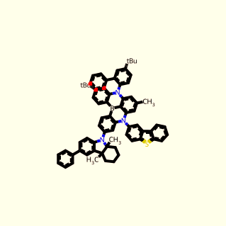 Cc1cc2c3c(c1)N(c1ccc(C(C)(C)C)cc1-c1ccccc1)c1cc(C(C)(C)C)ccc1B3c1ccc(N3c4ccc(-c5ccccc5)cc4C4(C)CCCCC34C)cc1N2c1ccc2sc3ccccc3c2c1